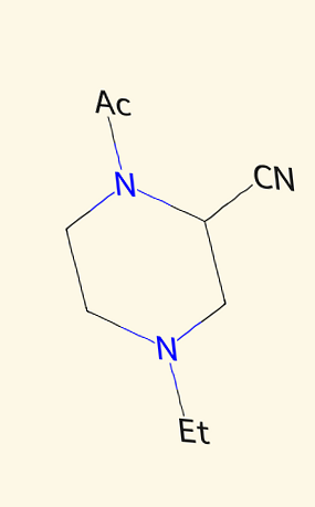 CCN1CCN(C(C)=O)C(C#N)C1